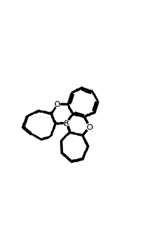 C1=C\C=C2\OC3CCCCCCC3B3C2=C(\C=C/1)OC1CCCCCC31